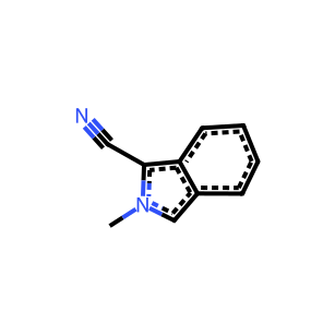 Cn1cc2ccccc2c1C#N